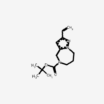 C=Cc1cc2n(n1)CCCN(C(=O)OC(C)(C)C)C2